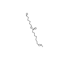 CCCCCCCCC(=O)OCCCCCC=O